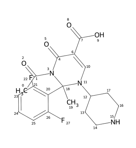 CC(=O)N1C(=O)C(C(=O)O)=CN(C2CCNCC2)C1(C)c1c(F)cccc1F